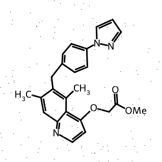 COC(=O)COc1ccnc2cc(C)c(Cc3ccc(-n4cccn4)cc3)c(C)c12